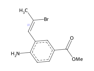 COC(=O)c1ccc(N)c(/C=C(/C)Br)c1